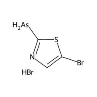 Br.[AsH2]c1ncc(Br)s1